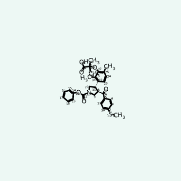 CSc1ccc(C(=O)[C@H]2CN(C(=O)Oc3ccccc3)C[C@@H]2c2ccc(C)c(OC(C)(C)C(=O)O)c2C)cc1